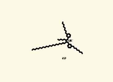 CCCCCCCCCCCCCCCCCCCC=CC1=C(c2cccc(CCCCCCCC)c2)[N+](=[N-])C(c2cccc(CCCCCCCC)c2)=C1CCCCC.[CH3][Ni][CH3]